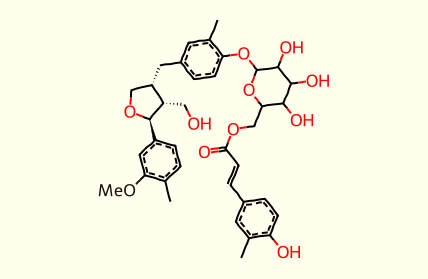 COc1cc([C@H]2OC[C@H](Cc3ccc(OC4OC(COC(=O)/C=C/c5ccc(O)c(C)c5)C(O)C(O)C4O)c(C)c3)[C@@H]2CO)ccc1C